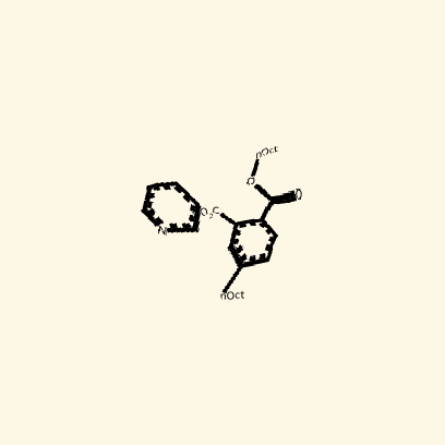 CCCCCCCCOC(=O)c1ccc(CCCCCCCC)cc1C(=O)O.c1ccncc1